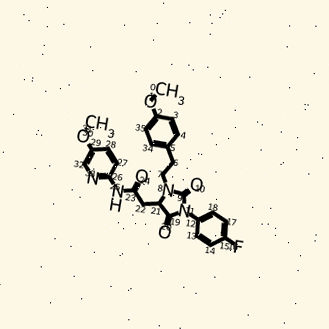 COc1ccc(CCN2C(=O)N(c3ccc(F)cc3)C(=O)C2CC(=O)Nc2ccc(OC)cn2)cc1